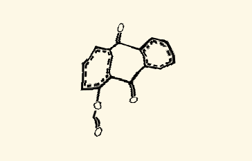 O=COc1cccc2c1C(=O)c1ccccc1C2=O